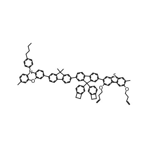 C=CCCOc1cc2c(cc1C)sc1cc(-c3ccc4c(c3)C(c3ccc5c(c3)CC5)(c3ccc5c(c3)CC5)c3cc(-c5ccc6c(c5)C(C)(C)c5cc(-c7ccc8c(c7)Oc7cc(C)ccc7N8c7ccc(CCCC)cc7)ccc5-6)ccc3-4)c(OCCC=C)cc12